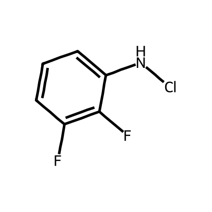 Fc1cccc(NCl)c1F